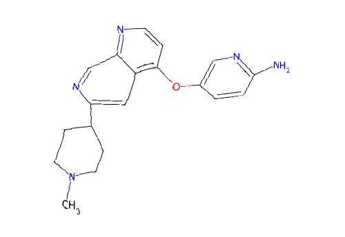 CN1CCC(c2cc3c(Oc4ccc(N)nc4)ccnc3cn2)CC1